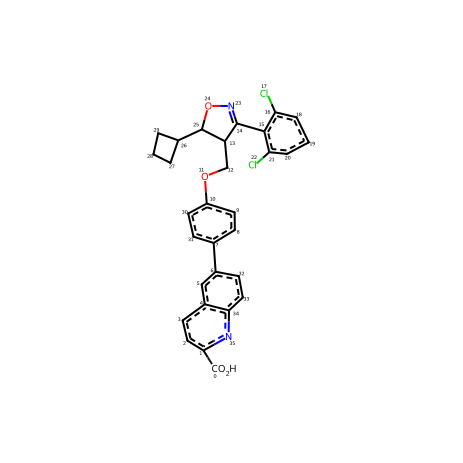 O=C(O)c1ccc2cc(-c3ccc(OCC4C(c5c(Cl)cccc5Cl)=NOC4C4CCC4)cc3)ccc2n1